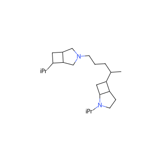 CC(C)C1CC2CN(CCCC(C)C3CC4C3CCN4C(C)C)CC21